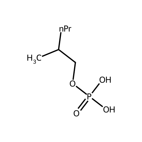 C[CH]CC(C)COP(=O)(O)O